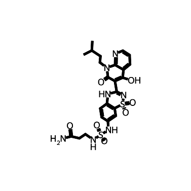 CC(C)CCn1c(=O)c(C2=NS(=O)(=O)c3cc(NS(=O)(=O)NCCC(N)=O)ccc3N2)c(O)c2cccnc21